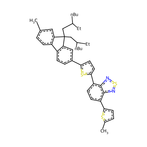 CCCCC(CC)CC1(CC(CC)CCCC)c2cc(C)ccc2-c2ccc(-c3ccc(-c4ccc(-c5ccc(C)s5)c5nsnc45)s3)cc21